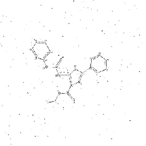 CCOC(=O)c1nc(-c2ccccc2)sc1NC(=O)Oc1ccccc1